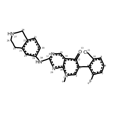 Cn1cc(-c2c(F)cccc2Cl)c(=O)c2cnc(Nc3ccc4c(c3)CCNC4)nc21